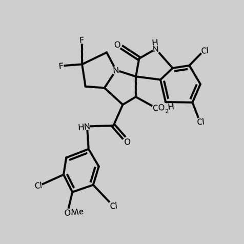 COc1c(Cl)cc(NC(=O)C2C3CC(F)(F)CN3C3(C(=O)Nc4c(Cl)cc(Cl)cc43)C2C(=O)O)cc1Cl